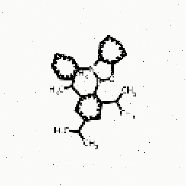 CC(C)c1cc(C(C)C)c(B2Oc3ccccc3N2c2ccccc2)c(C(C)C)c1